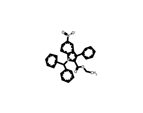 CCOC(=O)c1c(-c2ccccc2)c2cc([N+](=O)[O-])ccc2n1C(c1ccccc1)c1ccccc1